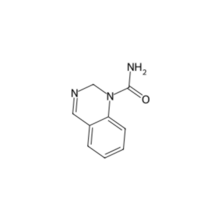 NC(=O)N1CN=Cc2ccccc21